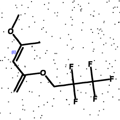 C=C(/C=C(\C)OC)OCC(F)(F)C(F)(F)F